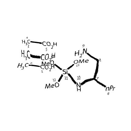 CC(=O)O.CC(=O)O.CC(=O)O.CCCC(CN)N[Si](OC)(OC)OC